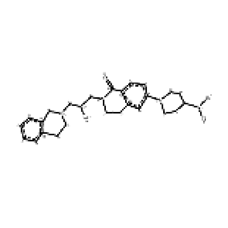 CCN(CC)C1CCN(c2ccc3c(c2)CCN(CC(O)CN2CCc4ccccc4C2)C3=O)CC1